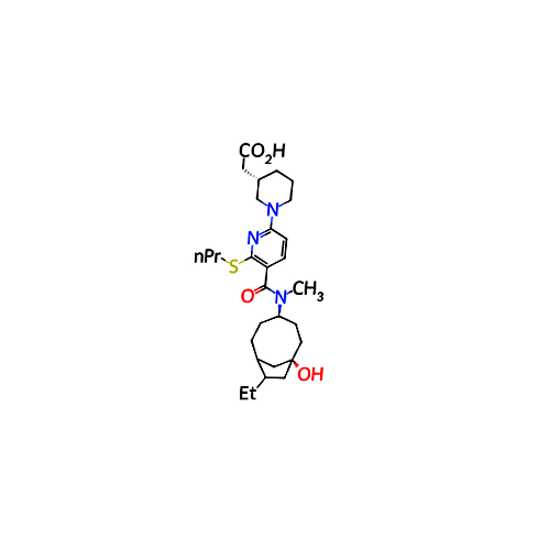 CCCSc1nc(N2CCC[C@@H](CC(=O)O)C2)ccc1C(=O)N(C)[C@@H]1CCC2C[C@](O)(CC1)CC2CC